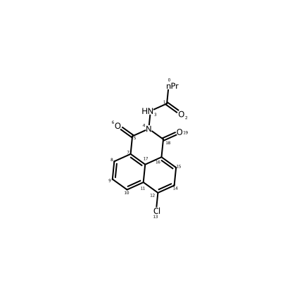 CCCC(=O)NN1C(=O)c2cccc3c(Cl)ccc(c23)C1=O